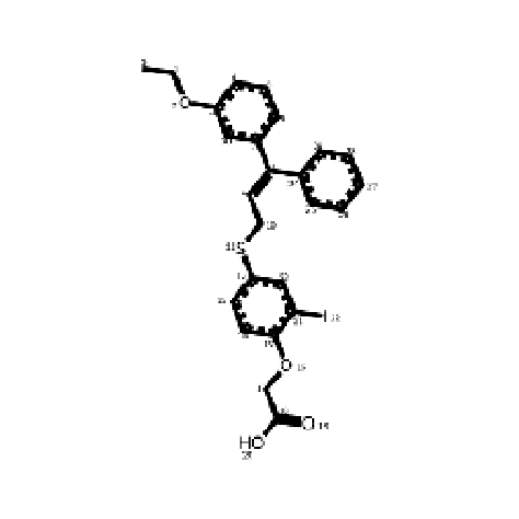 CCOc1cccc(C(=CCSc2ccc(OCC(=O)O)c(I)c2)c2ccccc2)c1